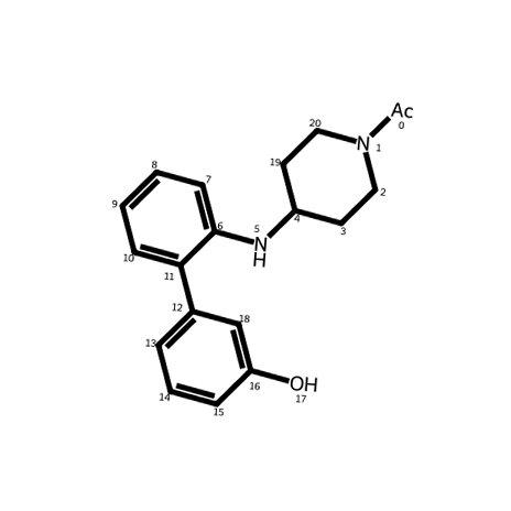 CC(=O)N1CCC(Nc2ccccc2-c2cccc(O)c2)CC1